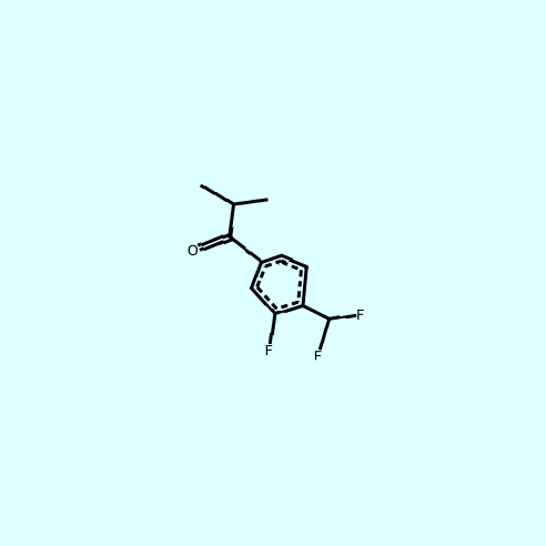 CC(C)C(=O)c1ccc(C(F)F)c(F)c1